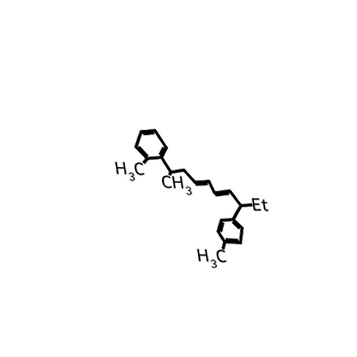 CCC(C=CC=CCC(C)c1ccccc1C)c1ccc(C)cc1